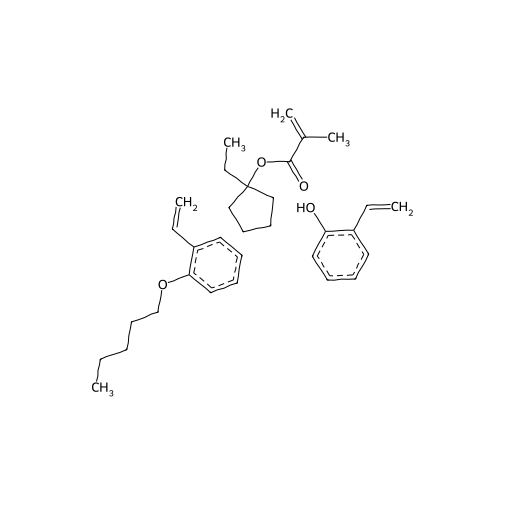 C=C(C)C(=O)OC1(CC)CCCC1.C=Cc1ccccc1O.C=Cc1ccccc1OCCCCC